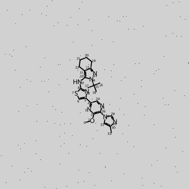 COc1nc(-c2csc(Nc3c4c(nn3C(C)(C)C)CCCC4)n2)cnc1-n1cnc(C)c1